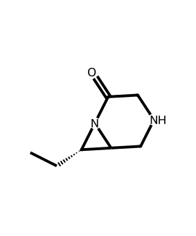 CC[C@H]1C2CNCC(=O)N21